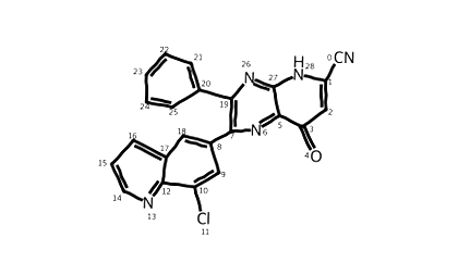 N#Cc1cc(=O)c2nc(-c3cc(Cl)c4ncccc4c3)c(-c3ccccc3)nc2[nH]1